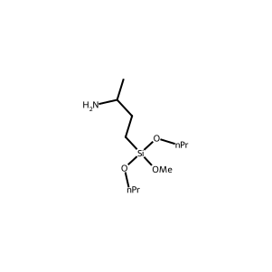 CCCO[Si](CCC(C)N)(OC)OCCC